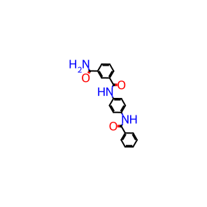 NC(=O)c1cccc(C(=O)Nc2ccc(NC(=O)c3ccccc3)cc2)c1